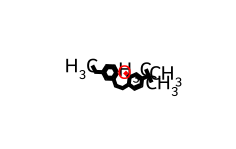 CCc1ccc2c(c1)CCC1C=CC(C(C)(C)C)=CC1O2